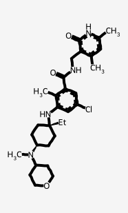 CC[C@]1(Nc2cc(Cl)cc(C(=O)NCc3c(C)cc(C)[nH]c3=O)c2C)CC[C@H](N(C)C2CCOCC2)CC1